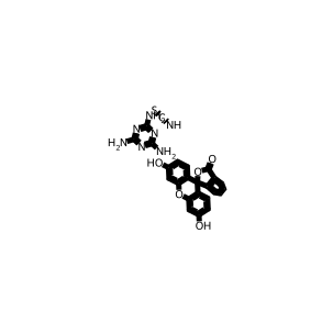 N=C=S.Nc1nc(N)nc(N)n1.O=C1OC2(c3ccc(O)cc3Oc3cc(O)ccc32)c2ccccc21